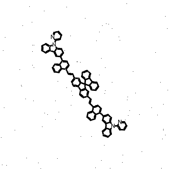 C(=C\c1ccc(-c2ccc3c(c2)c2ccccc2n3-c2ccccn2)c2ccccc12)/c1ccc2c(c1)C1(c3ccccc3-c3ccccc31)c1cc(/C=C/c3ccc(-c4ccc5c(c4)c4ccccc4n5-c4ccccn4)c4ccccc34)ccc1-2